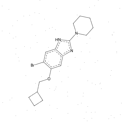 Brc1cc2[nH]c(N3CCCCC3)nc2cc1OCC1CCC1